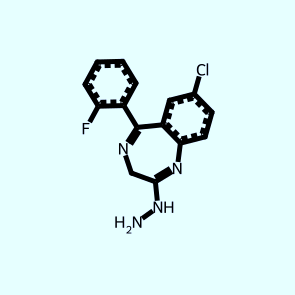 NNC1=Nc2ccc(Cl)cc2C(c2ccccc2F)=NC1